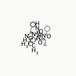 CC(C)(C)C[C@H](NC(=O)[C@H](CC1CC1)NC(=O)C1CCCCC1)C(=O)N1CC(=O)Nc2ccccc2C[C@H]1C#N